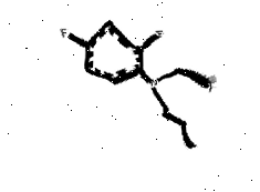 CCCN(CF)c1ccc(F)cc1F